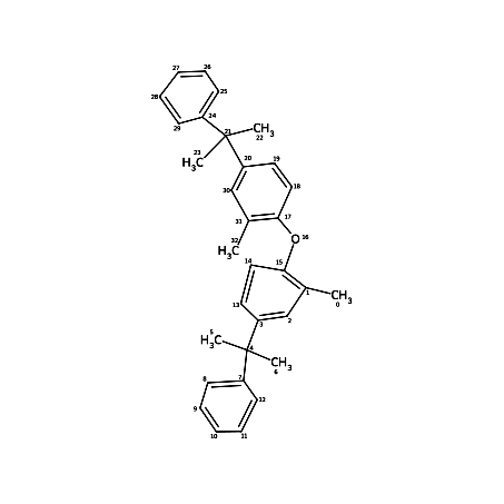 Cc1cc(C(C)(C)c2ccccc2)ccc1Oc1ccc(C(C)(C)c2ccccc2)cc1C